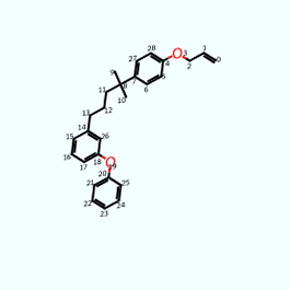 C=CCOc1ccc(C(C)(C)CCCc2cccc(Oc3ccccc3)c2)cc1